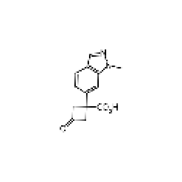 Cn1ncc2ccc(C3(C(=O)O)CC(=O)C3)cc21